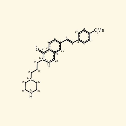 COc1ccc(C=Cc2ccc3c(=O)n(CCCN4CCNCC4)ncc3c2)cc1